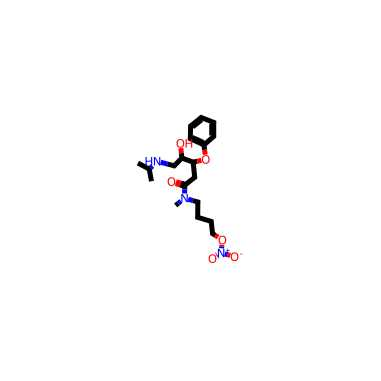 CC(C)NCC(O)C(CC(=O)N(C)CCCCO[N+](=O)[O-])Oc1ccccc1